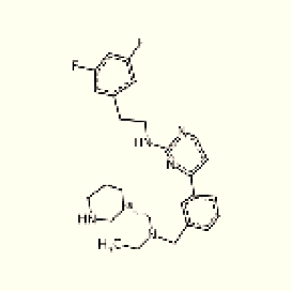 CCN(Cc1cccc(-c2ccnc(NCCc3cc(F)cc(F)c3)n2)c1)C[C@H]1CCCNC1